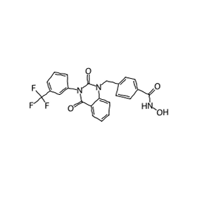 O=C(NO)c1ccc(Cn2c(=O)n(-c3cccc(C(F)(F)F)c3)c(=O)c3ccccc32)cc1